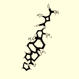 CC1C(C(=O)O)CC1C(=O)OC1CCC2(C)C(CCC3(C)C4CCC5(C(=O)N6CCCC6)CCCC5C4CCC23)C1C